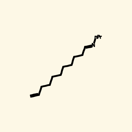 C=CCCCCCCCC/C=N/CCC